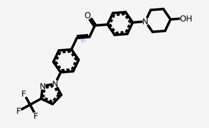 O=C(/C=C/c1ccc(-n2ccc(C(F)(F)F)n2)cc1)c1ccc(N2CCC(O)CC2)cc1